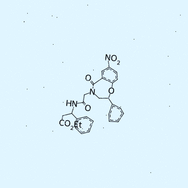 CCOC(=O)CC(NC(=O)CN1CC(c2ccccc2)Oc2ccc([N+](=O)[O-])cc2C1=O)c1ccccc1